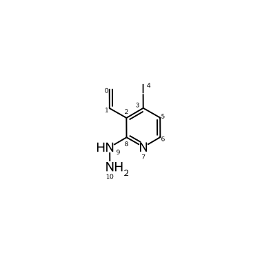 C=Cc1c(I)ccnc1NN